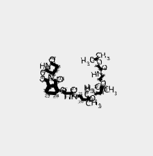 CC(C)OCC(=O)NCCOC(C)(C)CCOC(C)(C)CCNC(=O)COc1cccc2c1C(=O)N(C1CCC(=O)NC1=O)C2=O